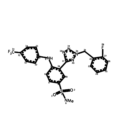 CNS(=O)(=O)c1ccc(Nc2ccc(C(F)(F)F)cc2)c(-c2nnn(Cc3ccccc3F)n2)c1